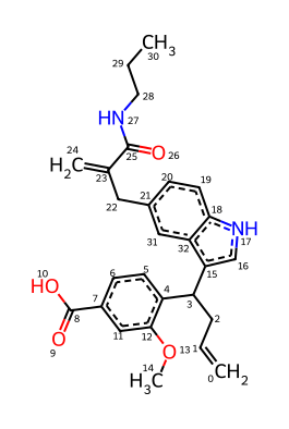 C=CCC(c1ccc(C(=O)O)cc1OC)c1c[nH]c2ccc(CC(=C)C(=O)NCCC)cc12